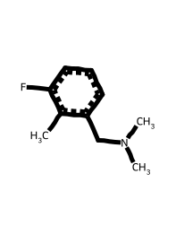 Cc1c(F)cccc1CN(C)C